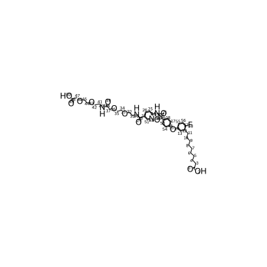 O=C(O)CCCCCCCCCc1cc(Oc2ccc(S(=O)(=O)Nc3ccc(C(=O)NCCOCCOCC(=O)NCCOCCOCC(=O)O)cn3)cc2)ccc1F